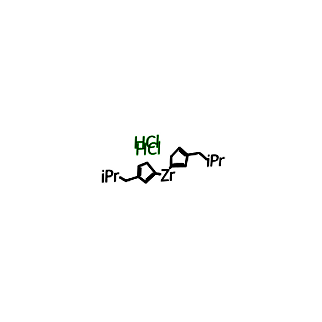 CC(C)CC1=CC[C]([Zr][C]2=CC(CC(C)C)=CC2)=C1.Cl.Cl